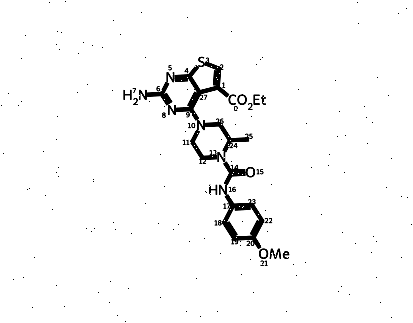 CCOC(=O)c1csc2nc(N)nc(N3CCN(C(=O)Nc4ccc(OC)cc4)C(C)C3)c12